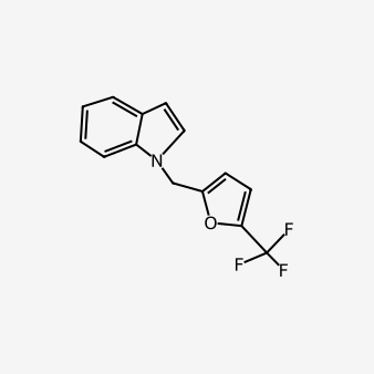 FC(F)(F)c1ccc(Cn2ccc3ccccc32)o1